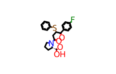 O=C(c1ccc(F)cc1)C(CC(=O)N1CCC[C@H]1C(=O)O)Sc1ccccc1